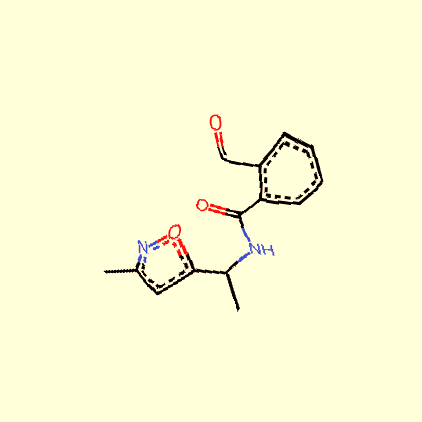 Cc1cc(C(C)NC(=O)c2ccccc2C=O)on1